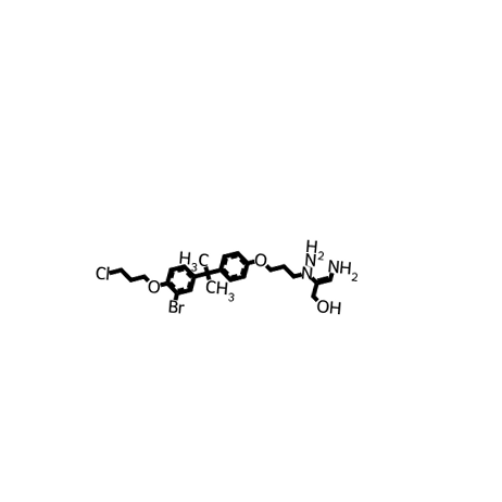 CC(C)(c1ccc(OCCCN(N)/C(=C\N)CO)cc1)c1ccc(OCCCCl)c(Br)c1